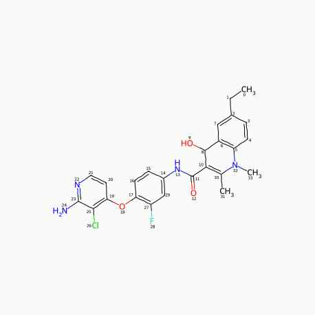 CCc1ccc2c(c1)C(O)C(C(=O)Nc1ccc(Oc3ccnc(N)c3Cl)c(F)c1)=C(C)N2C